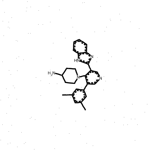 Cc1cc(C)cc(-c2cncc(-c3nc4ccccc4[nH]3)c2N2CCC(N)CC2)c1